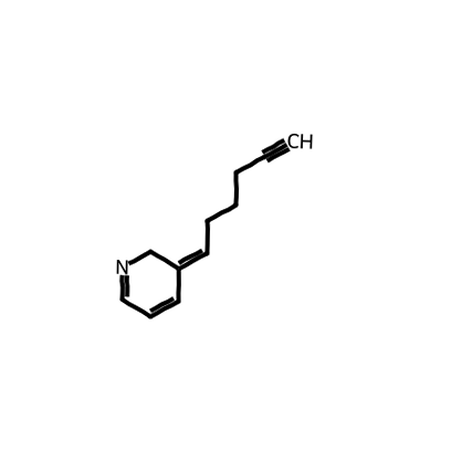 C#CCCC/C=C1/C=CC=NC1